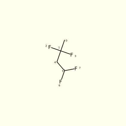 CC(F)(F)C[C](F)F